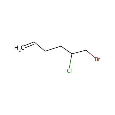 C=CCCC(Cl)CBr